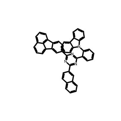 c1ccc(-n2c3ccccc3c3ccccc32)c(-c2nc(-c3ccc4c(c3)-c3cccc5cccc-4c35)nc(-c3ccc4ccccc4c3)n2)c1